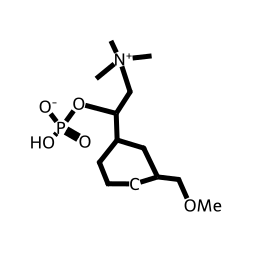 COCC1CCCC(C(C[N+](C)(C)C)OP(=O)([O-])O)C1